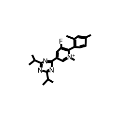 Cc1ccc(-c2c(F)cc(-c3nc(C(C)C)nc(C(C)C)n3)c[n+]2C)c(C)c1